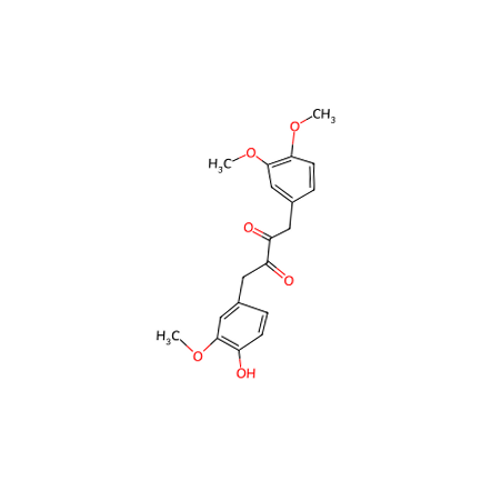 COc1cc(CC(=O)C(=O)Cc2ccc(OC)c(OC)c2)ccc1O